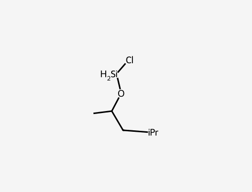 CC(C)CC(C)O[SiH2]Cl